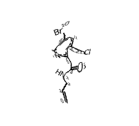 C=CCNC(=O)c1ncc(Br)cc1Cl